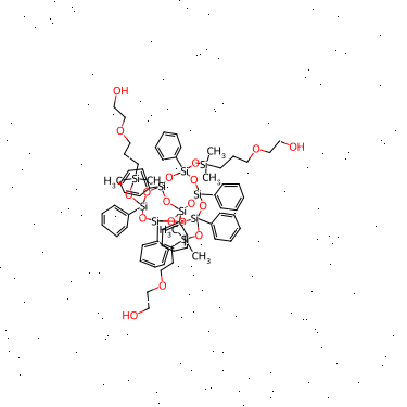 C[Si](C)(CCCOCCO)O[Si]1(c2ccccc2)O[Si]2(c3ccccc3)O[Si](O[Si](C)(C)CCCOCCO)(c3ccccc3)O[Si]3(c4ccccc4)O[Si](O[Si](C)(C)CCCOCCO)(c4ccccc4)O[Si](c4ccccc4)(O1)O[Si](c1ccccc1)(O2)O3